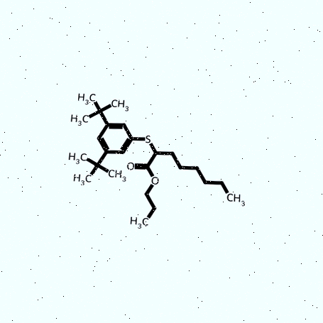 CCCCCCC(Sc1cc(C(C)(C)C)cc(C(C)(C)C)c1)C(=O)OCCC